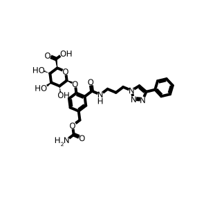 NC(=O)OCc1ccc(O[C@@H]2O[C@H](C(=O)O)[C@@H](O)[C@H](O)[C@H]2O)c(C(=O)NCCCn2cc(-c3ccccc3)nn2)c1